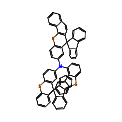 c1ccc2c(c1)Sc1ccc(N(c3ccc4c(c3)C3(c5ccccc5-c5ccccc53)c3ccc5ccccc5c3S4)c3cccc4sc5ccccc5c34)cc1C21c2ccccc2-c2ccccc21